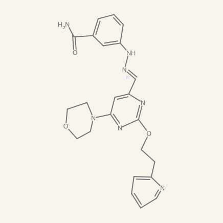 NC(=O)c1cccc(N/N=C/c2cc(N3CCOCC3)nc(OCCc3ccccn3)n2)c1